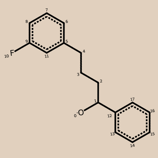 [O]C(CCCc1cccc(F)c1)c1ccccc1